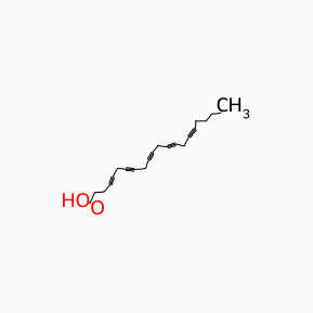 CCCCCC#CCC#CCC#CCC#CCC#CCCC(=O)O